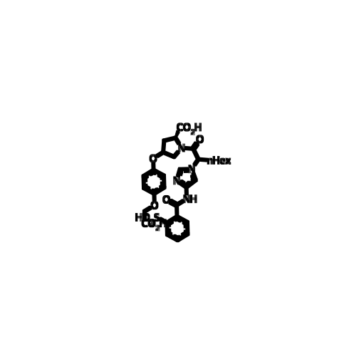 CCCCCCC(C(=O)N1CC(Oc2ccc(OCC(=O)O)cc2)C[C@H]1C(=O)O)n1cnc(NC(=O)c2ccccc2S(=O)(=O)O)c1